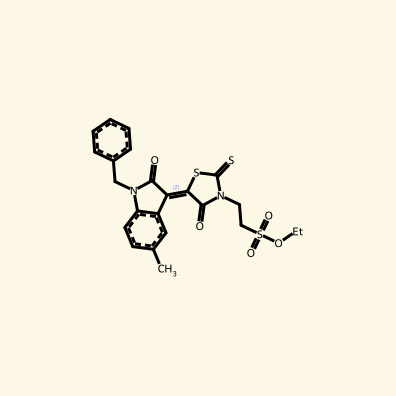 CCOS(=O)(=O)CCN1C(=O)/C(=C2/C(=O)N(Cc3ccccc3)c3ccc(C)cc32)SC1=S